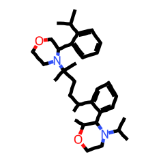 CC(C)c1ccccc1C1COCCN1C(C)(C)CCC(C)c1ccccc1C1C(C)OCCN1C(C)C